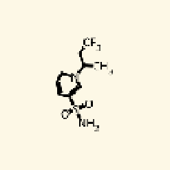 CC(CC(F)(F)F)N1C=C(S(N)(=O)=O)C=CC1